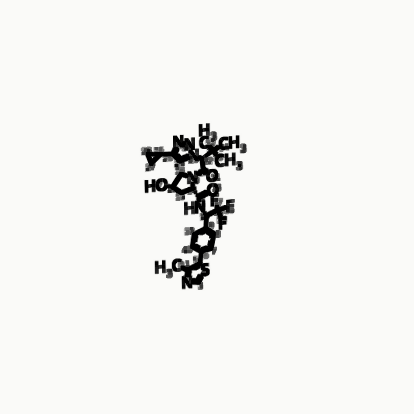 Cc1ncsc1-c1ccc([C@@H](NC(=O)[C@@H]2C[C@@H](O)CN2C(=O)[C@@H](n2cc(C3CC3)nn2)C(C)(C)C)C(F)(F)F)cc1